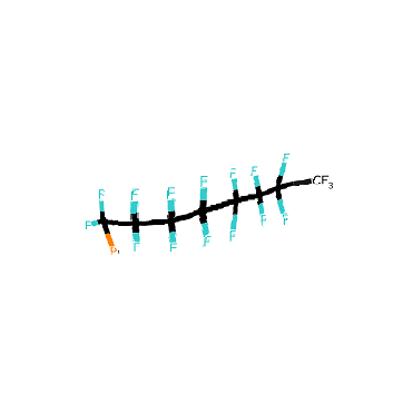 FC(F)(F)C(F)(F)C(F)(F)C(F)(F)C(F)(F)C(F)(F)C(F)(F)C(F)(F)[P]